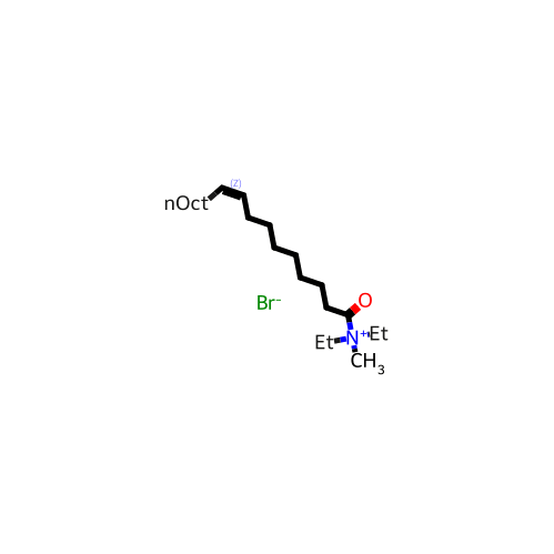 CCCCCCCC/C=C\CCCCCCCC(=O)[N+](C)(CC)CC.[Br-]